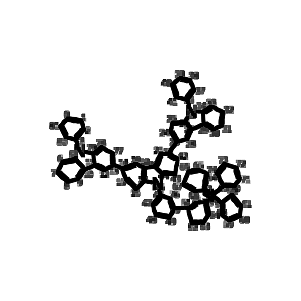 c1ccc(-n2c3ccccc3c3cc(-c4ccc5c(c4)c4cc(-c6ccc7c(c6)c6ccccc6n7-c6ccccc6)ccc4n5-c4cccc(-c5cccc([Si](c6ccccc6)(c6ccccc6)c6ccccc6)c5)c4)ccc32)cc1